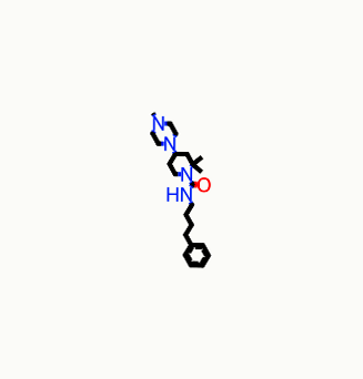 CN1CCN(C2CCN(C(=O)NCCCCc3ccccc3)C(C)(C)C2)CC1